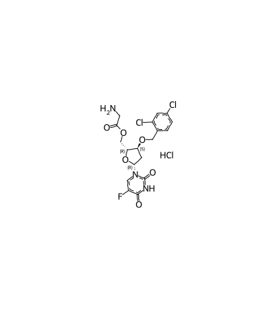 Cl.NCC(=O)OC[C@H]1O[C@@H](n2cc(F)c(=O)[nH]c2=O)C[C@@H]1OCc1ccc(Cl)cc1Cl